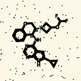 FC(F)OC1CN([C@H]2COc3ccccc3[C@@H]2Nc2ncnc3[nH]c(C4CC4)cc23)C1